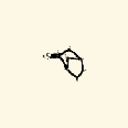 S=C1CC2CCC1C2